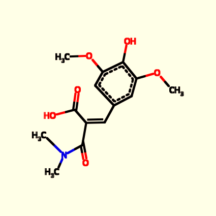 COc1cc(C=C(C(=O)O)C(=O)N(C)C)cc(OC)c1O